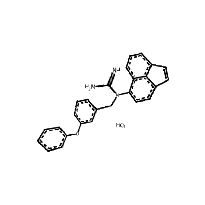 Cl.N=C(N)N(Cc1cccc(Oc2ccccc2)c1)c1ccc2c3c(cccc13)C=C2